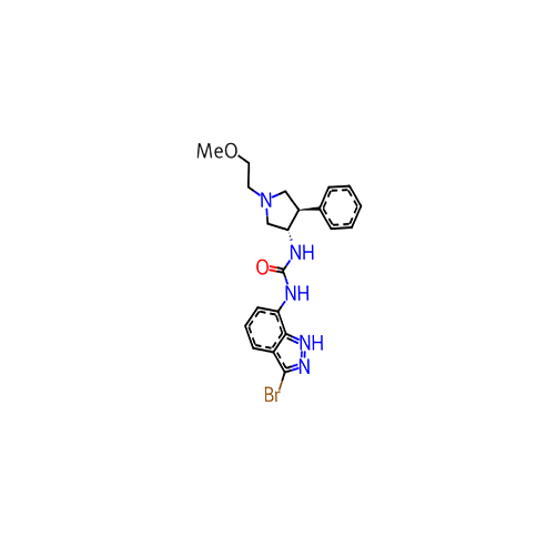 COCCN1C[C@@H](NC(=O)Nc2cccc3c(Br)n[nH]c23)[C@H](c2ccccc2)C1